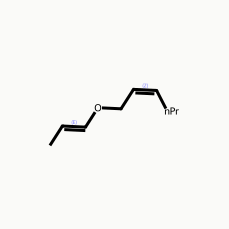 C/C=C/OC/C=C\CCC